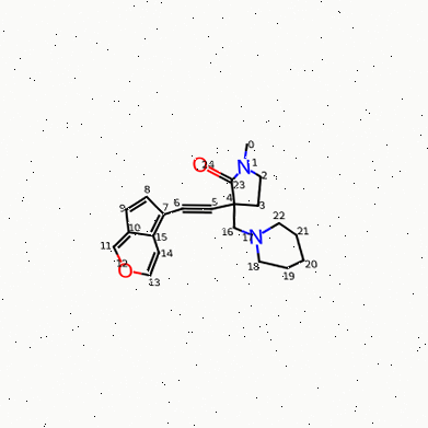 CN1CCC(C#Cc2ccc3coccc2-3)(CN2CCCCC2)C1=O